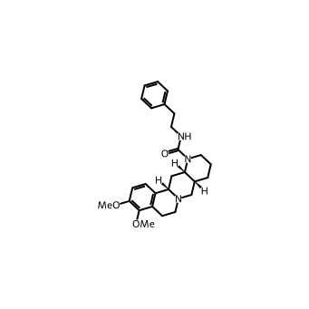 COc1ccc2c(c1OC)CCN1C[C@H]3CCCN(C(=O)NCCc4ccccc4)[C@H]3C[C@@H]21